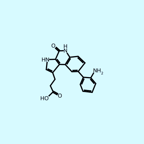 Nc1ccccc1-c1ccc2[nH]c(=O)c3[nH]cc(CCC(=O)O)c3c2c1